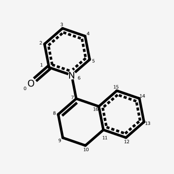 O=c1ccccn1C1=CCCc2ccccc21